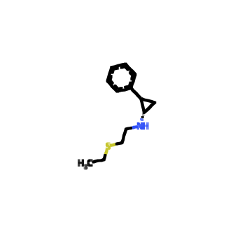 CCSCCN[C@H]1CC1c1ccccc1